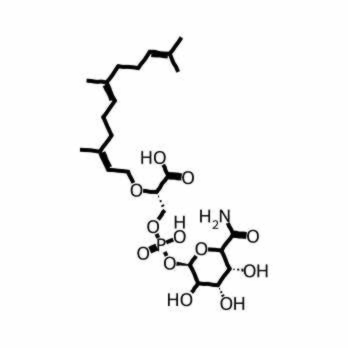 CC(C)=CCC/C(C)=C/CC/C(C)=C\CO[C@@H](COP(=O)(O)O[C@H]1OC(C(N)=O)[C@H](O)[C@H](O)C1O)C(=O)O